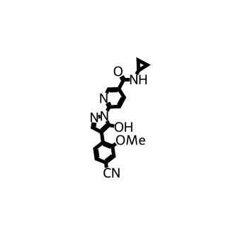 COc1cc(C#N)ccc1-c1cnn(-c2ccc(C(=O)NC3CC3)cn2)c1O